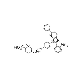 CC1(C)C[C@@H](CN2CC(c3ccc(-n4c(-c5cccnc5N)nc5ccc(-c6ccccc6)nc54)cc3)C2)CC[C@H]1C(=O)O